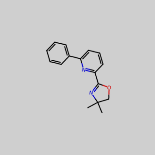 CC1(C)COC(c2cccc(-c3ccccc3)n2)=N1